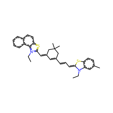 CCN1/C(=C/C=C/C2=CC(=C/c3sc4ccc5ccccc5c4[n+]3CC)/CC(C)(C)C2)Sc2ccc(C)cc21